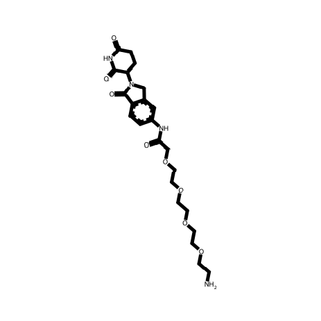 NCCOCCOCCOCCOCC(=O)Nc1ccc2c(c1)CN(C1CCC(=O)NC1=O)C2=O